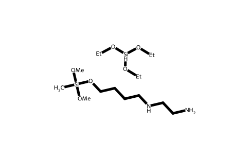 CCO[SiH](OCC)OCC.CO[Si](C)(OC)OCCCCNCCN